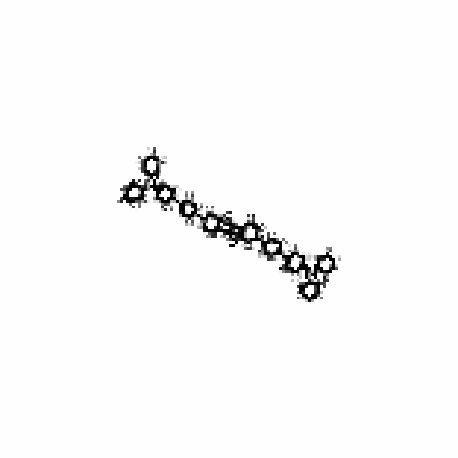 c1ccc(N(c2ccccc2)c2ccc(-c3ccc(-c4ccc5c(c4)sc4c6ccc(-c7ccc(-c8ccc(N(c9ccccc9)c9ccccc9)cc8)cc7)cc6sc54)cc3)cc2)cc1